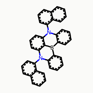 c1ccc2c(c1)B1c3ccccc3N(c3cccc4ccccc34)c3cccc(c31)N2c1cccc2ccccc12